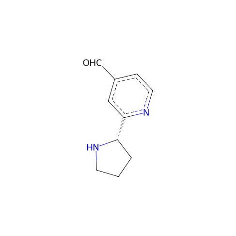 O=Cc1ccnc([C@@H]2CCCN2)c1